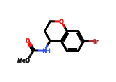 COC(=O)NC1CCOc2cc(Br)ccc21